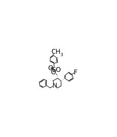 Cc1ccc(S(=O)(=O)OC[C@H]2CN(Cc3ccccc3)CC[C@H]2c2ccc(F)cc2)cc1